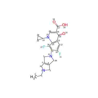 CCN1CC2=C(C1)CN(c1c(F)cc3c(=O)c(C(=O)O)cn(C4CC4)c3c1F)C2